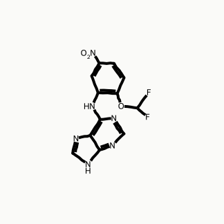 O=[N+]([O-])c1ccc(OC(F)F)c(Nc2ncnc3[nH]cnc23)c1